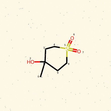 [CH2]C1(O)CCS(=O)(=O)CC1